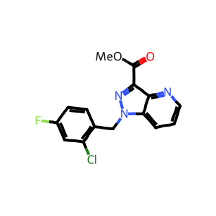 COC(=O)c1nn(Cc2ccc(F)cc2Cl)c2cccnc12